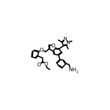 CCOC(=O)Cc1ccccc1OCc1coc2c(-c3c(C)nn(C)c3C)cc(-c3cccc(CN)c3)cc12